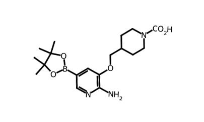 CC1(C)OB(c2cnc(N)c(OCC3CCN(C(=O)O)CC3)c2)OC1(C)C